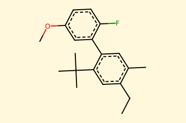 CCc1cc(C(C)(C)C)c(-c2cc(OC)ccc2F)cc1C